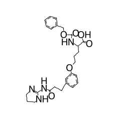 O=C(CCc1cccc(OCCCC(NC(=O)OCc2ccccc2)C(=O)O)c1)NC1=NCCCN1